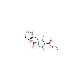 CCOC(=O)C1=C(C)NC(Cc2ccccn2)(C(=O)O)C1C